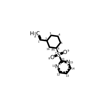 C=CC1CCC[C@@H](S(=O)(=O)c2ncccn2)C1